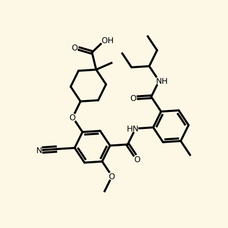 CCC(CC)NC(=O)c1ccc(C)cc1NC(=O)c1cc(OC2CCC(C)(C(=O)O)CC2)c(C#N)cc1OC